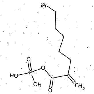 C=C(CCCCCC(C)C)C(=O)OP(=O)(O)O